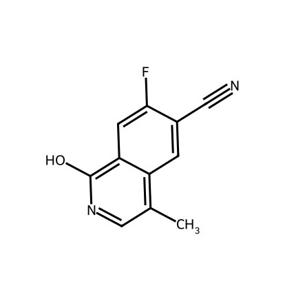 Cc1cnc(O)c2cc(F)c(C#N)cc12